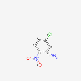 N.O=[N+]([O-])c1ccc(Cl)cc1